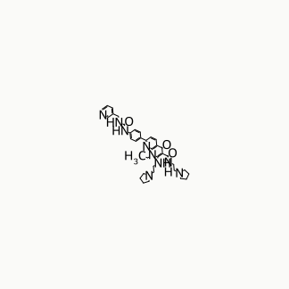 CCn1c(NCCN2CCCC2)c(C(=O)NCCN2CCCC2)c(=O)c2ccc(-c3ccc(NC(=O)NCc4cccnc4)cc3)nc21